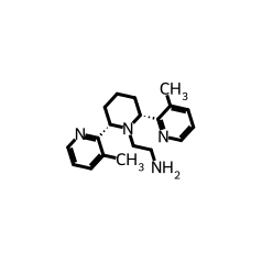 Cc1cccnc1[C@H]1CCC[C@@H](c2ncccc2C)N1CCN